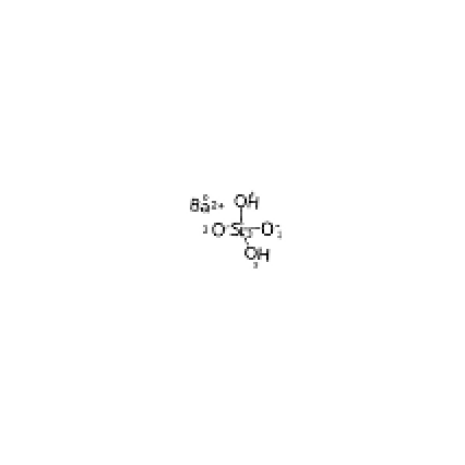 [Ba+2].[O-][Si]([O-])(O)O